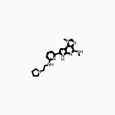 CNc1nc2[nH]c(-c3cccc(NCCN4CCCC4)n3)cc2c2c1ncn2C